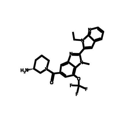 CCn1c(-c2nc3cc(C(=O)N4CCC[C@@H](N)C4)cc(OC(F)(F)F)c3n2C)cc2cccnc21